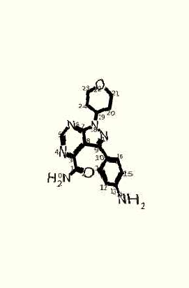 NC(=O)c1ncnc2c1c(-c1ccc(N)cc1)nn2C1CCOCC1